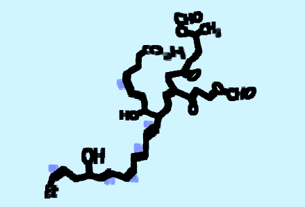 CC/C=C\CC(O)/C=C/C=C\C=C\C=C\C(CCC(CC(=O)CCC(C)OC=O)C(=O)CCOC=O)C(O)C/C=C\CCC(=O)O